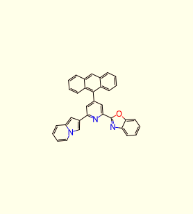 c1ccc2c(-c3cc(-c4cc5ccccn5c4)nc(-c4nc5ccccc5o4)c3)c3ccccc3cc2c1